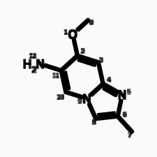 COc1cc2nc(C)cn2cc1N